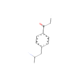 CC(=O)CC(=O)c1ccc(CC(N)C(=O)O)cc1